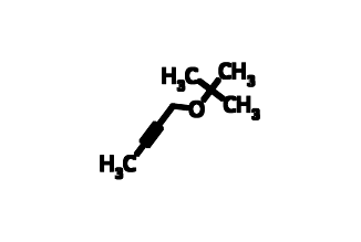 CC#CCOC(C)(C)C